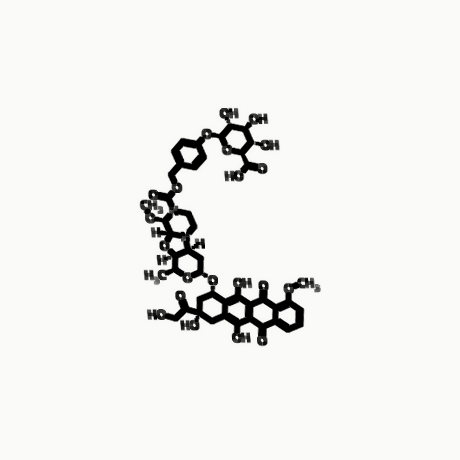 COc1cccc2c1C(=O)c1c(O)c3c(c(O)c1C2=O)C[C@@](O)(C(=O)CO)C[C@@H]3O[C@H]1C[C@H]2[C@H](O[C@@H]3[C@@H](OC)N(C(=O)OCc4ccc(O[C@@H]5O[C@H](C(=O)O)[C@@H](O)[C@H](O)[C@H]5O)cc4)CCN32)[C@H](C)O1